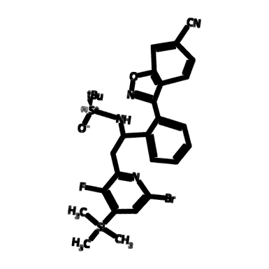 CC(C)(C)[S@+]([O-])NC(Cc1nc(Br)cc([Si](C)(C)C)c1F)c1ccccc1-c1noc2cc(C#N)ccc12